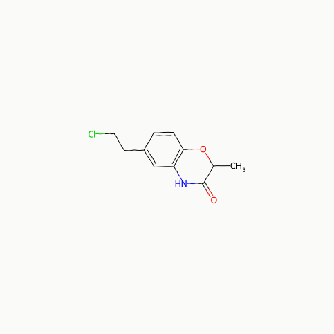 CC1Oc2ccc(CCCl)cc2NC1=O